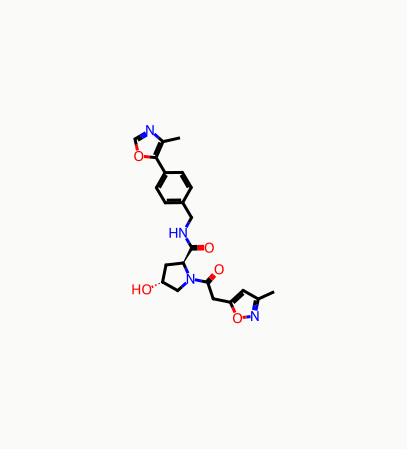 Cc1cc(CC(=O)N2C[C@H](O)C[C@H]2C(=O)NCc2ccc(-c3ocnc3C)cc2)on1